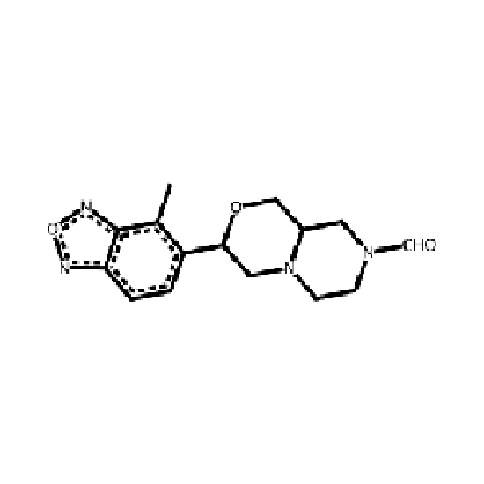 Cc1c(C2CN3CCN(C=O)CC3CO2)ccc2nonc12